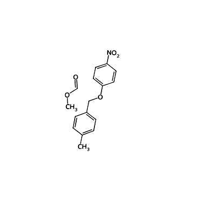 COC=O.Cc1ccc(COc2ccc([N+](=O)[O-])cc2)cc1